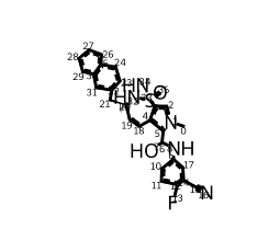 Cn1cc2c(c1C(O)Nc1ccc(F)c(C#N)c1)C=C[C@@H](Cc1ccc3ccccc3c1)NS2(=N)=O